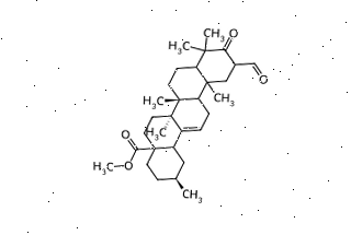 COC(=O)C12CC[C@H](C)CC1C1=CCC3C4(C)CC(C=O)C(=O)C(C)(C)C4CC[C@@]3(C)[C@]1(C)CC2